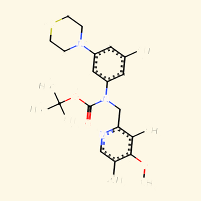 COc1c(C)cnc(CN(C(=O)OC(C)(C)C)c2cc(C)cc(N3CCSCC3)c2)c1C